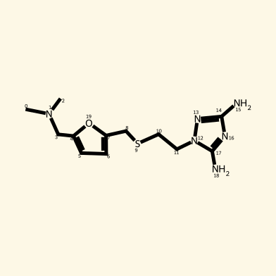 CN(C)Cc1ccc(CSCCn2nc(N)nc2N)o1